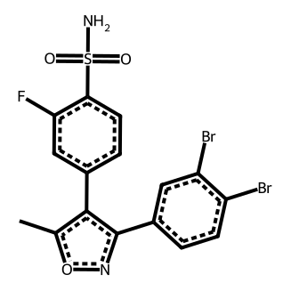 Cc1onc(-c2ccc(Br)c(Br)c2)c1-c1ccc(S(N)(=O)=O)c(F)c1